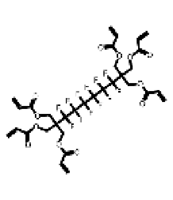 C=CC(=O)OCC(COC(=O)C=C)(COC(=O)C=C)C(F)(F)C(F)(F)C(F)(F)C(F)(F)C(F)(F)C(F)(F)C(COC(=O)C=C)(COC(=O)C=C)COC(=O)C=C